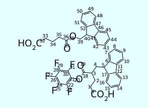 O=C(O)CCC(CC1c2ccccc2-c2ccccc21)C(=O)Oc1c(F)c(F)c(F)c(F)c1F.O=C(O)CCCC(=O)OCC1c2ccccc2-c2ccccc21